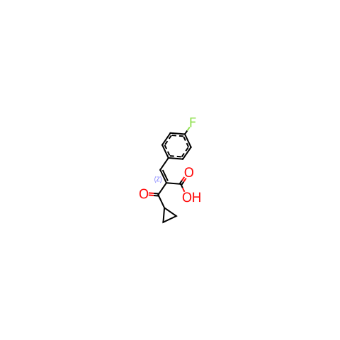 O=C(O)/C(=C\c1ccc(F)cc1)C(=O)C1CC1